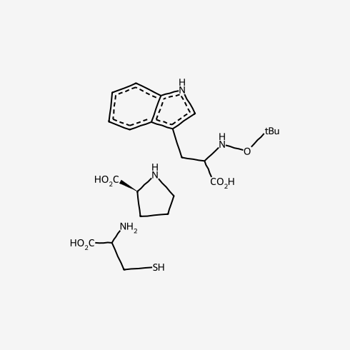 CC(C)(C)ONC(Cc1c[nH]c2ccccc12)C(=O)O.NC(CS)C(=O)O.O=C(O)[C@@H]1CCCN1